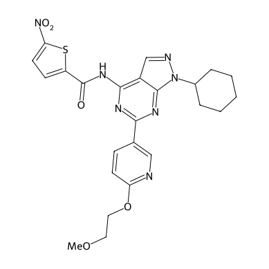 COCCOc1ccc(-c2nc(NC(=O)c3ccc([N+](=O)[O-])s3)c3cnn(C4CCCCC4)c3n2)cn1